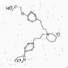 O=C(O)COc1ccc(CCC[N+]2(CCCc3ccc(OCC(=O)O)cc3)CCCCC2)cc1.[Cl-]